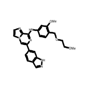 COCCOCc1ccc(Nc2nc(-c3ccc4cn[nH]c4c3)cn3ccnc23)cc1OC